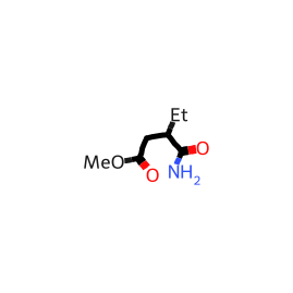 CCC(CC(=O)OC)C(N)=O